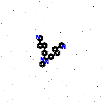 c1cncc(-c2cccc3c(-c4ccc(-c5nc6ccccc6nc5-c5ccc(-c6cccc7c(-c8cccnc8)cccc67)cc5)cc4)cccc23)c1